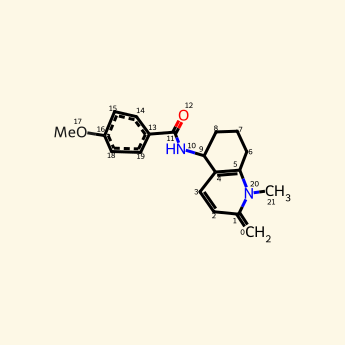 C=C1C=CC2=C(CCCC2NC(=O)c2ccc(OC)cc2)N1C